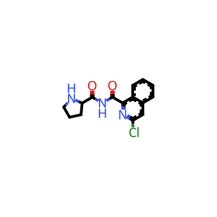 O=C(NC(=O)C1CCCN1)c1nc(Cl)cc2ccccc12